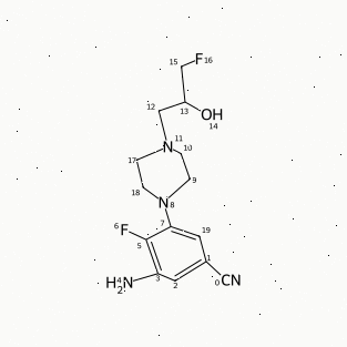 N#Cc1cc(N)c(F)c(N2CCN(CC(O)CF)CC2)c1